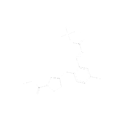 C=C(/N=C/c1cc(Br)ccc1OC1CCN(C(=O)OC(C)(C)C)C1)O[Si](C)(C)C